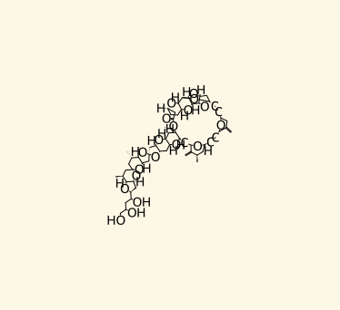 C=C1CC2CC[C@@]34C[C@H]5O[C@H]6C(O3)[C@H]3O[C@H](CC[C@@H]3O[C@H]6C5O4)CC(=O)O[C@@H]3[C@@H](C)[C@@H]4O[C@@H]5C[C@@]6(C[C@@H]7OC8(C[C@H](C)[C@@H]9O[C@H]([C@@H](O)C[C@@H](O)CO)C[C@@H]9O8)C[C@H](C)[C@@H]7O6)OC5C[C@@H]4O[C@H]3CC3O[C@@H](CCC1O2)C[C@@H](C)C3=C